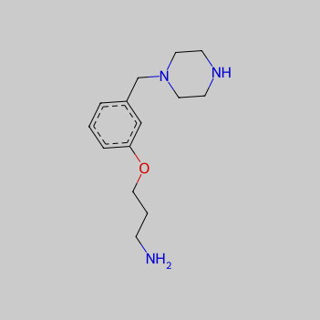 NCCCOc1cccc(CN2CCNCC2)c1